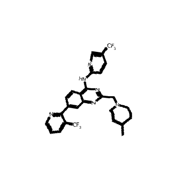 CC1CCN(Cc2nc(Nc3ccc(C(F)(F)F)cn3)c3ccc(-c4ncccc4C(F)(F)F)cc3n2)CC1